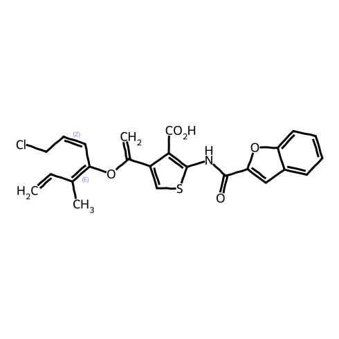 C=C/C(C)=C(\C=C/CCl)OC(=C)c1csc(NC(=O)c2cc3ccccc3o2)c1C(=O)O